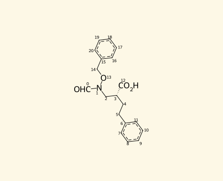 O=CN(C[C@@H](CCc1ccccc1)C(=O)O)OCc1ccccc1